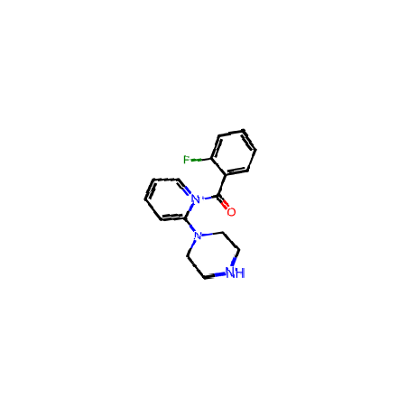 O=C(c1ccccc1F)[n+]1ccccc1N1CCNCC1